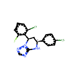 Fc1cccc(Cl)c1C1C[C@@H](c2ccc(Cl)cc2)Nc2ncnn21